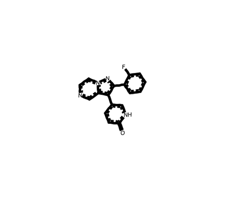 O=c1ccc(-c2c(-c3ccccc3F)nn3ccncc23)c[nH]1